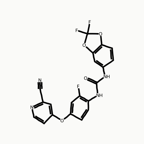 N#Cc1cc(Oc2ccc(NC(=O)Nc3ccc4c(c3)OC(F)(F)O4)c(F)c2)ccn1